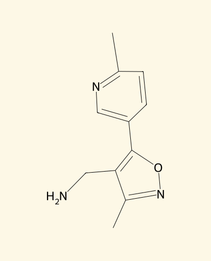 Cc1ccc(-c2onc(C)c2CN)cn1